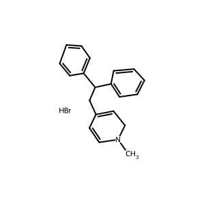 Br.CN1C=CC(CC(c2ccccc2)c2ccccc2)=CC1